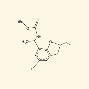 CC(NC(=O)OC(C)(C)C)c1cc(F)cc2c1OC(CI)C2